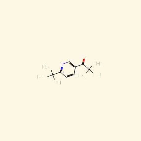 CC(C)(C)C(=O)c1ccc(C(C)(C)C)nc1